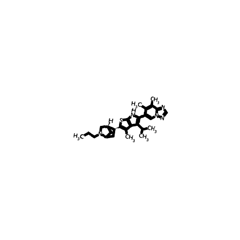 CCCN1C[C@@H]2CC1C[C@H]2c1sc2[nH]c(-c3cn4ncnc4c(C)c3C)c(C(C)C)c2c1C